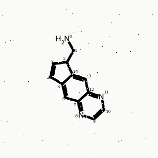 NCC1C=Cc2cc3nccnc3cc21